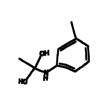 Cc1cccc(NC(C)(O)O)c1